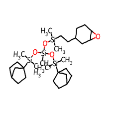 C[Si](C)(CCC1CCC2OC2C1)O[Si](C)(O[Si](C)(C)C12CCC(CC1)C2)O[Si](C)(C)C12CCC(CC1)C2